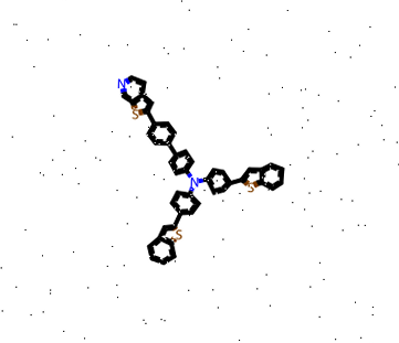 c1ccc2sc(-c3ccc(N(c4ccc(-c5ccc(-c6cc7ccncc7s6)cc5)cc4)c4ccc(-c5cc6ccccc6s5)cc4)cc3)cc2c1